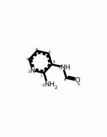 Nc1ncccc1NC=O